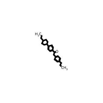 CCCc1ccc(CC(=O)c2ccc(C3CCC(CCC)CC3)cc2)cc1